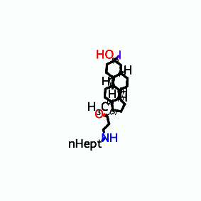 CCCCCCCNCCC(=O)[C@H]1CC[C@H]2[C@@H]3CC[C@@H]4C[C@@](O)(I)CC[C@@H]4[C@H]3CC[C@]12C